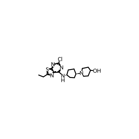 CCc1nc2c(N[C@H]3CC[C@H](N4CCC(O)CC4)CC3)nc(Cl)nc2s1